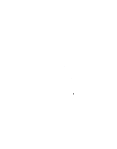 Cc1cc(Cl)c(C)n2nc([C@@H]3C[C@H]3C(=O)O)nc12